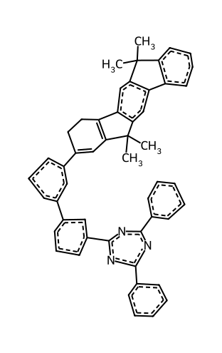 CC1(C)C2=C(CCC(c3cccc(-c4cccc(-c5nc(-c6ccccc6)nc(-c6ccccc6)n5)c4)c3)=C2)c2cc3c(cc21)-c1ccccc1C3(C)C